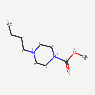 CC(=O)CCCN1CCN(C(=O)OC(C)(C)C)CC1